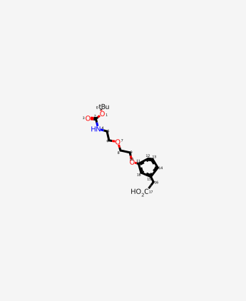 CC(C)(C)OC(=O)NCCOCCOc1cccc(CC(=O)O)c1